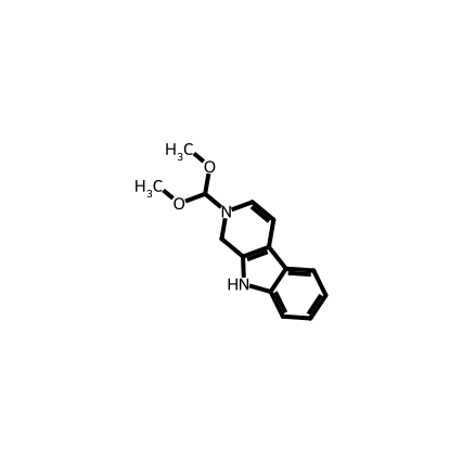 COC(OC)N1C=Cc2c([nH]c3ccccc23)C1